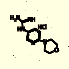 Cl.N=C(N)Nc1ccc(N2CCOCC2)nc1